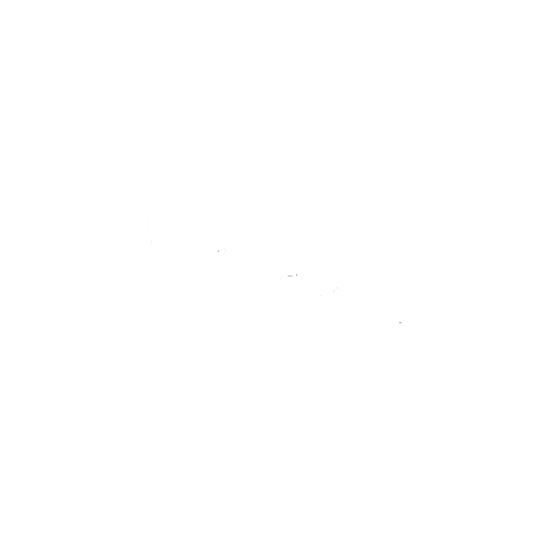 C[N+](C)(C)CCOCCOCCOCCS